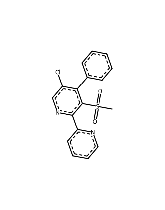 CS(=O)(=O)c1c(-c2ccccn2)ncc(Cl)c1-c1ccccc1